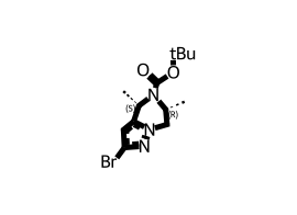 C[C@@H]1Cn2nc(Br)cc2[C@H](C)N1C(=O)OC(C)(C)C